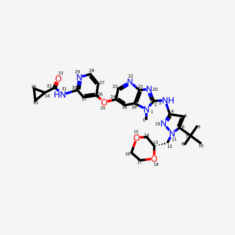 Cn1c(Nc2cc(C(C)(C)C)n(C[C@H]3COCCO3)n2)nc2ncc(Oc3ccnc(NC(=O)C4CC4)c3)cc21